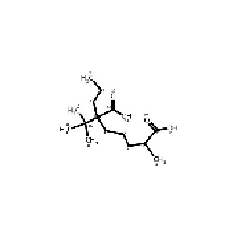 CCCC(CCCC(C)C(=O)O)(C(=O)O)C(C)(C)C